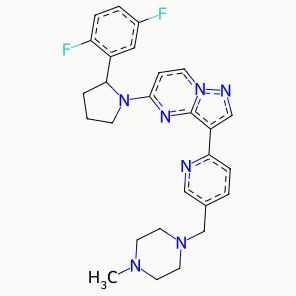 CN1CCN(Cc2ccc(-c3cnn4ccc(N5CCCC5c5cc(F)ccc5F)nc34)nc2)CC1